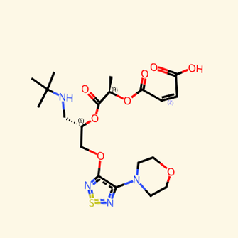 C[C@@H](OC(=O)/C=C\C(=O)O)C(=O)O[C@@H](CNC(C)(C)C)COc1nsnc1N1CCOCC1